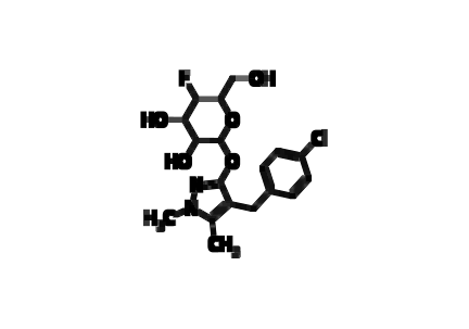 Cc1c(Cc2ccc(Cl)cc2)c(OC2OC(CO)C(F)C(O)C2O)nn1C